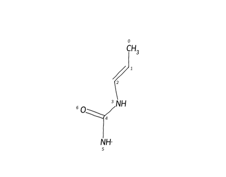 CC=CNC([NH])=O